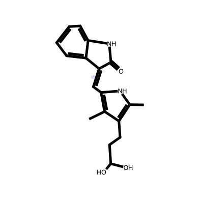 Cc1[nH]c(/C=C2\C(=O)Nc3ccccc32)c(C)c1CCC(O)O